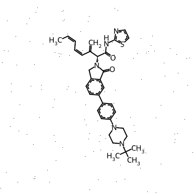 C=C(/C=C\C=C/C)[C@@H](C(=O)Nc1nccs1)N1Cc2ccc(-c3ccc(N4CCN(C(C)(C)C)CC4)cc3)cc2C1=O